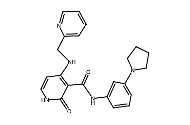 O=C(Nc1cccc(N2CCCC2)c1)c1c(NCc2ccccn2)cc[nH]c1=O